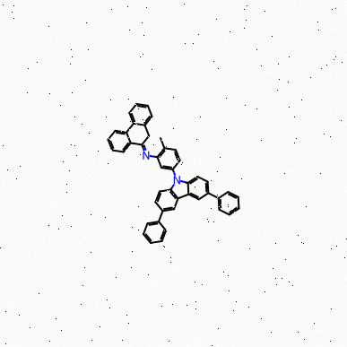 Cc1ccc(-n2c3ccc(-c4ccccc4)cc3c3cc(-c4ccccc4)ccc32)cc1/N=C1\Cc2ccccc2-c2ccccc21